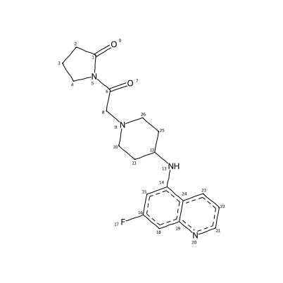 O=C1CCCN1C(=O)CN1CCC(Nc2cc(F)cc3ncccc23)CC1